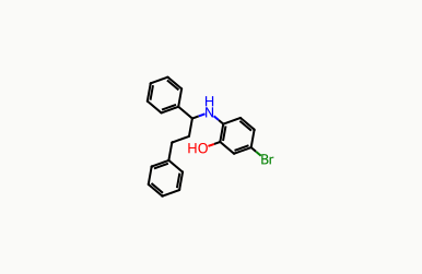 Oc1cc(Br)ccc1NC(CCc1ccccc1)c1ccccc1